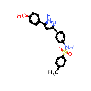 Cc1ccc(S(=O)(=O)Nc2ccc(-c3cc(-c4ccc(O)cc4)[nH]n3)cc2)cc1